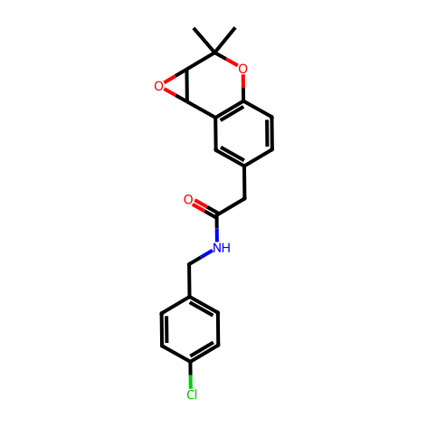 CC1(C)Oc2ccc(CC(=O)NCc3ccc(Cl)cc3)cc2C2OC21